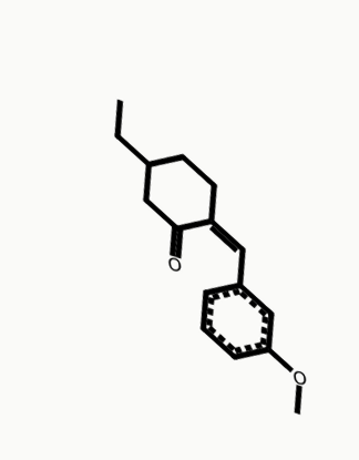 CCC1CCC(=Cc2cccc(OC)c2)C(=O)C1